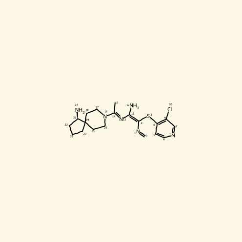 C=N/C(Sc1ccncc1Cl)=C(N)\N=C(/C)N1CCC2(CCC[C@H]2N)CC1